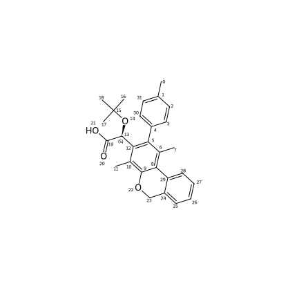 Cc1ccc(-c2c(C)c3c(c(C)c2[C@H](OC(C)(C)C)C(=O)O)OCc2ccccc2-3)cc1